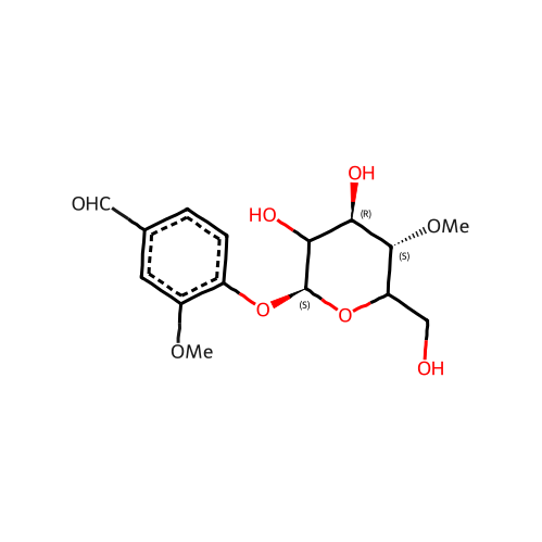 COc1cc(C=O)ccc1O[C@@H]1OC(CO)[C@@H](OC)[C@H](O)C1O